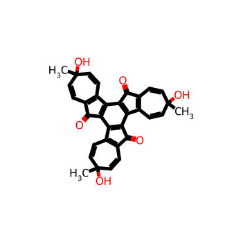 CC1(O)C=Cc2c(c3c4c(=O)c5c(c4c4c(=O)c6c(c4c3c2=O)C=CC(C)(O)C=C6)C=CC(C)(O)C=C5)C=C1